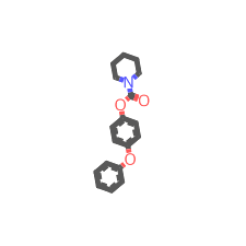 O=C(Oc1ccc(Oc2ccccc2)cc1)N1CCCCC1